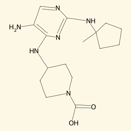 CC1(Nc2ncc(N)c(NC3CCN(C(=O)O)CC3)n2)CCCC1